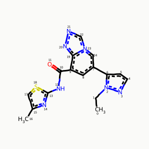 CCn1nccc1-c1cc(C(=O)Nc2nc(C)cs2)c2nncn2c1